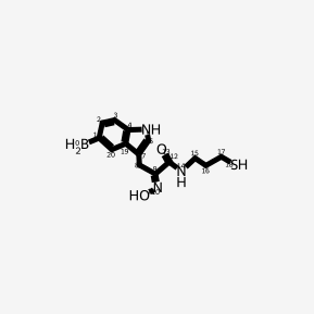 Bc1ccc2[nH]cc(C/C(=N\O)C(=O)NCCCS)c2c1